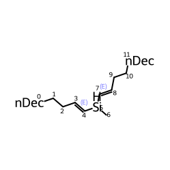 CCCCCCCCCCCC/C=C/[SiH](C)/C=C/CCCCCCCCCCCC